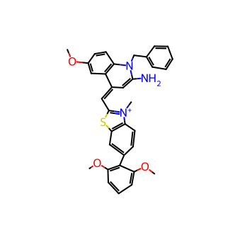 COc1ccc2c(c1)C(=Cc1sc3cc(-c4c(OC)cccc4OC)ccc3[n+]1C)C=C(N)N2Cc1ccccc1